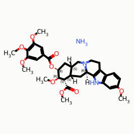 COC(=O)[C@H]1[C@H]2C[C@@H]3c4[nH]c5cc(OC)ccc5c4CCN3C[C@H]2C[C@@H](OC(=O)c2cc(OC)c(OC)c(OC)c2)[C@@H]1OC.N